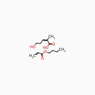 C=CC(=O)OCCCC.CC(=CCCO)C(=O)O